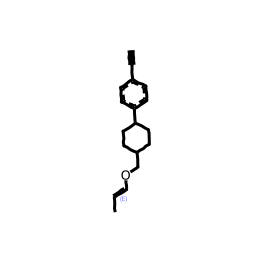 C#Cc1ccc(C2CCC(CO/C=C/C)CC2)cc1